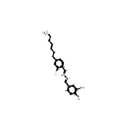 CCCCCCCc1ccc(C=NN=Cc2ccc(F)c(F)c2)c(F)c1